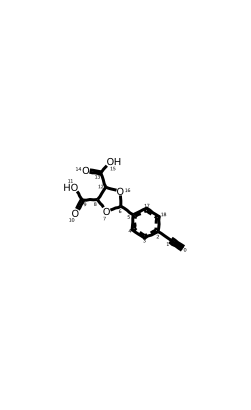 C#Cc1ccc(C2OC(C(=O)O)C(C(=O)O)O2)cc1